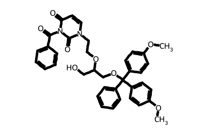 COc1ccc(C(OCC(CO)OCCn2ccc(=O)n(C(=O)c3ccccc3)c2=O)(c2ccccc2)c2ccc(OC)cc2)cc1